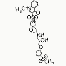 CCn1cc(S(=O)(=O)N2CCC3(CC2)CC(NCC(O)COc2cccc(S(C)(=O)=O)c2)CO3)c(=O)c2ccccc21